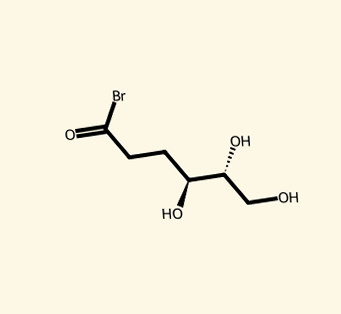 O=C(Br)CC[C@H](O)[C@H](O)CO